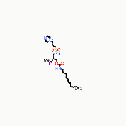 CCCCCCCCCCCCCCCCCCNC(=O)OCC(CNS(=O)(=O)CCC[n+]1ccncc1)OC.[I-]